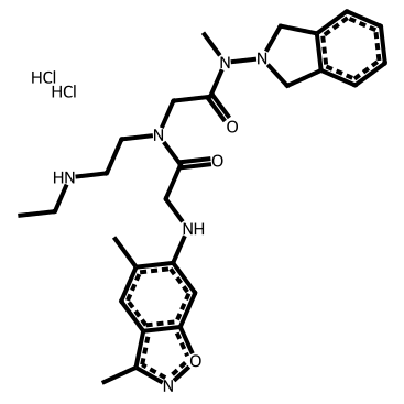 CCNCCN(CC(=O)N(C)N1Cc2ccccc2C1)C(=O)CNc1cc2onc(C)c2cc1C.Cl.Cl